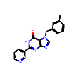 Cc1cccc(Cn2cnc3nc(-c4cccnc4)[nH]c(=O)c32)c1